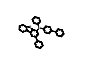 c1ccc(-c2ccc(N(c3ccccc3)c3cc(-c4ccccc4)cc4c3sc3ccccc34)cc2)cc1